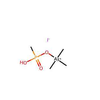 CP(=O)(O)O[As+](C)(C)C.[I-]